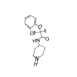 O=C(NC1CCNCC1)C(F)(F)Oc1ccccc1Cl